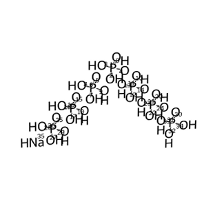 O=P(O)(O)O.O=P(O)(O)O.O=P(O)(O)O.O=P(O)(O)O.O=P(O)(O)O.O=P(O)(O)O.O=P(O)(O)O.[NaH]